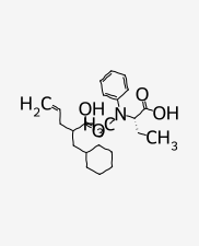 C=CCC(CC1CCCCC1)C(=O)O.CC[C@@H](C(=O)O)N(C)c1ccccc1